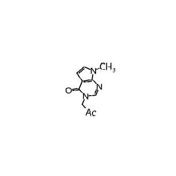 CC(=O)Cn1cnc2c(ccn2C)c1=O